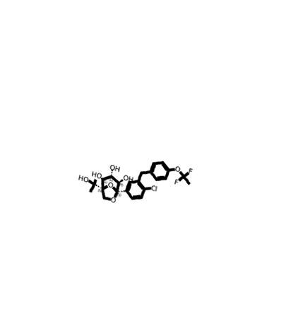 CC(F)(F)Oc1ccc(Cc2cc([C@]34OC[C@](C(C)(C)O)(O3)[C@@H](O)[C@H](O)[C@H]4O)ccc2Cl)cc1